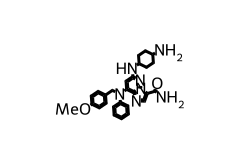 COc1ccc(CN(c2ccccc2)c2cc(NC3CCC(N)CC3)nn3c(C(N)=O)cnc23)cc1